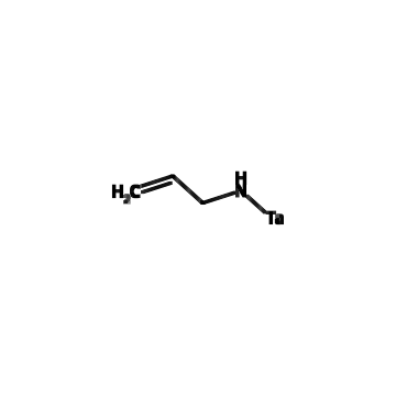 C=CC[NH][Ta]